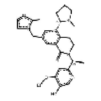 CCOc1cc([C@H](C)N2CCc3c(cc(Cn4ccnc4C)cc3[C@@H]3CCCN3C)C2=O)ncc1C#N